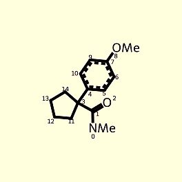 CNC(=O)C1(c2ccc(OC)cc2)CCCC1